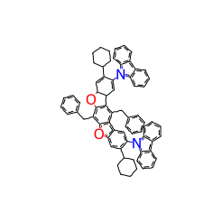 C1=C(C2CCCCC2)C(n2c3ccccc3c3ccccc32)=CC2c3c(c(Cc4ccccc4)c4oc5cc(C6CCCCC6)c(-n6c7ccccc7c7ccccc76)cc5c4c3Cc3ccccc3)OC12